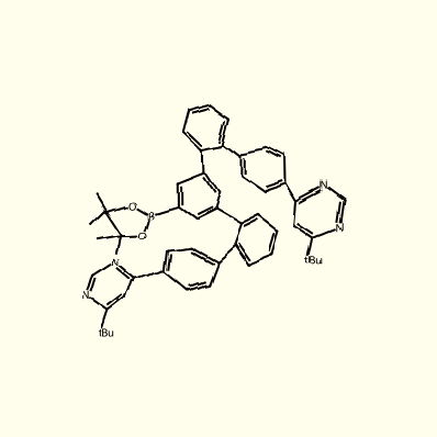 CC(C)(C)c1cc(-c2ccc(-c3ccccc3-c3cc(B4OC(C)(C)C(C)(C)O4)cc(-c4ccccc4-c4ccc(-c5cc(C(C)(C)C)ncn5)cc4)c3)cc2)ncn1